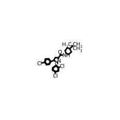 CC(C)(C)C1CCC(NC(=O)C2=NN(c3ccc(Cl)cc3Cl)C(c3ccc(Cl)cc3)C2)CC1